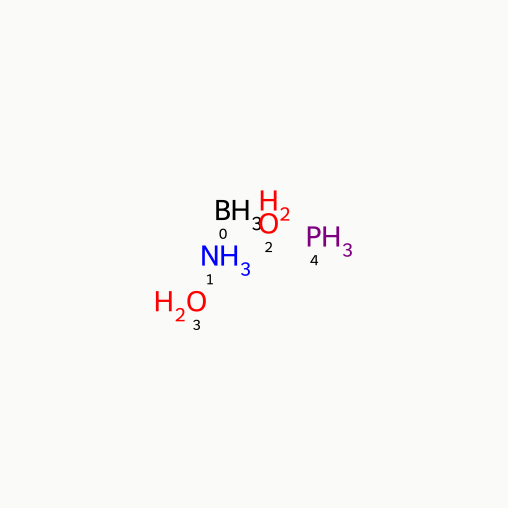 B.N.O.O.P